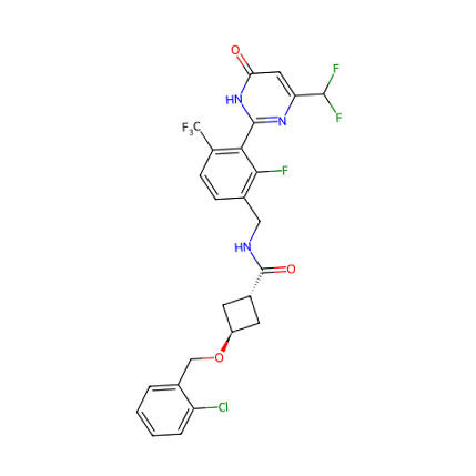 O=c1cc(C(F)F)nc(-c2c(C(F)(F)F)ccc(CNC(=O)[C@H]3C[C@H](OCc4ccccc4Cl)C3)c2F)[nH]1